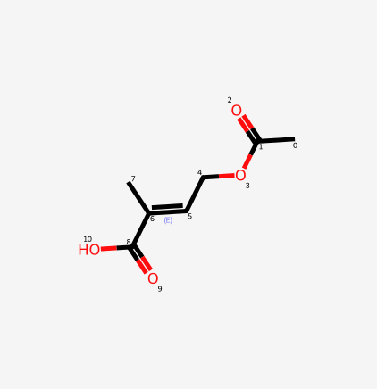 CC(=O)OC/C=C(\C)C(=O)O